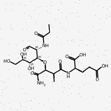 CCC(=O)N[C@@H](C=O)[C@@H](OC(C(N)=O)C(C)C(=O)NC(CCC(=O)O)C(=O)O)[C@H](O)[C@H](O)CO